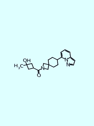 CC1(O)CC(C(=O)N2CC3(CCC(c4cccc5ccnn45)CC3)C2)C1